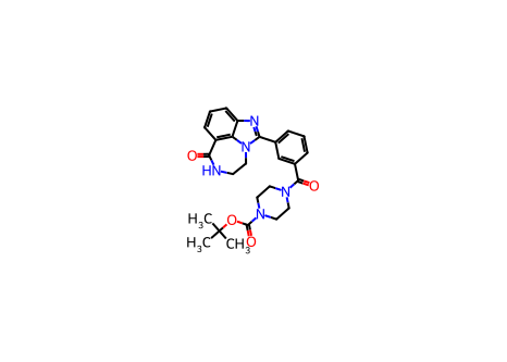 CC(C)(C)OC(=O)N1CCN(C(=O)c2cccc(-c3nc4cccc5c4n3CCNC5=O)c2)CC1